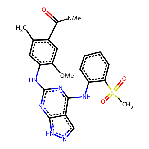 CNC(=O)c1cc(OC)c(Nc2nc(Nc3ccccc3S(C)(=O)=O)c3cn[nH]c3n2)cc1C